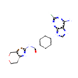 Nc1nc(F)nc2c1ncn2[C@H]1CC[C@@H](C(=O)Nc2nc3c(s2)COCC3)CC1